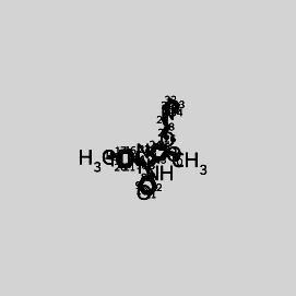 COc1cc2c(NC3CCOCC3)nc(N3CCN(C)CC3)nc2cc1OCCCN1CCCC1